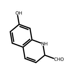 O=CC1C=Cc2ccc(O)cc2N1